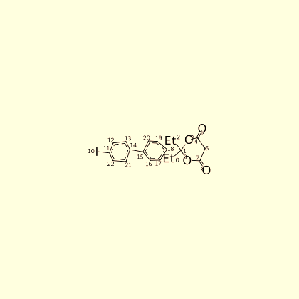 CCC1(CC)OC(=O)CC(=O)O1.Ic1ccc(-c2ccccc2)cc1